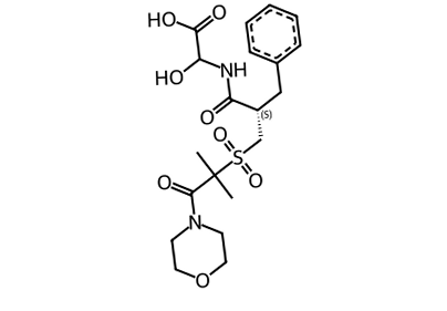 CC(C)(C(=O)N1CCOCC1)S(=O)(=O)C[C@@H](Cc1ccccc1)C(=O)NC(O)C(=O)O